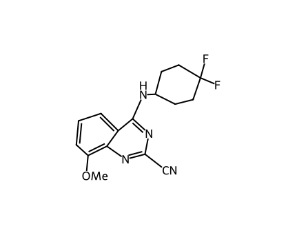 COc1cccc2c(NC3CCC(F)(F)CC3)nc(C#N)nc12